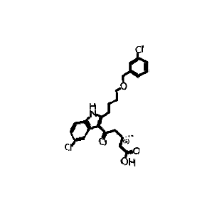 C[C@H](CC(=O)O)CC(=O)c1c(CCCCOCc2cccc(Cl)c2)[nH]c2ccc(Cl)cc12